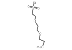 CCS(=O)(=O)CCOCCOCCOC